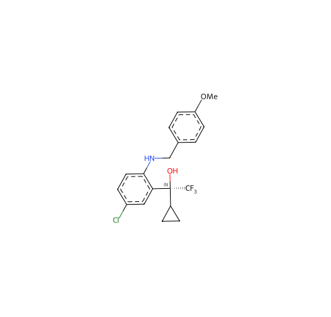 COc1ccc(CNc2ccc(Cl)cc2[C@@](O)(C2CC2)C(F)(F)F)cc1